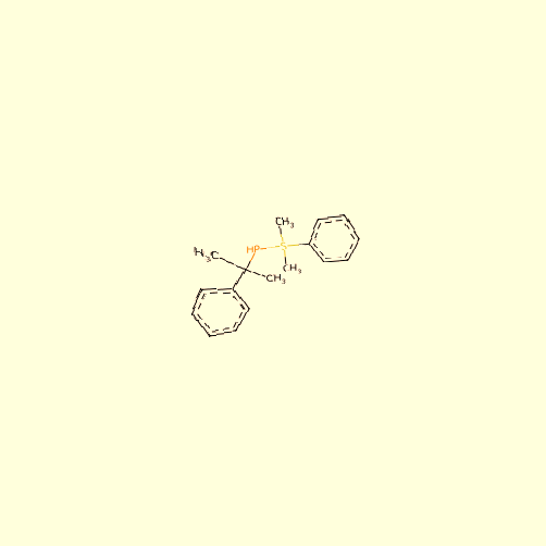 CC(C)(PS(C)(C)c1ccccc1)c1ccccc1